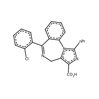 CCCc1nc(C(=O)O)c2n1-c1ccccc1C(c1ccccc1Cl)=NC2